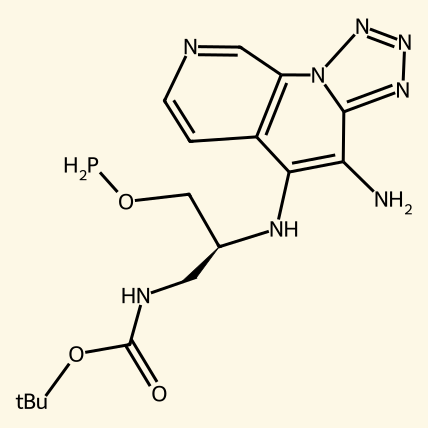 CC(C)(C)OC(=O)NC[C@@H](COP)Nc1c(N)c2nnnn2c2cnccc12